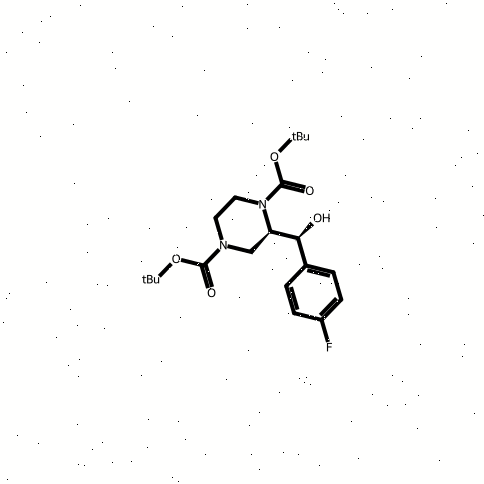 CC(C)(C)OC(=O)N1CCN(C(=O)OC(C)(C)C)[C@@H]([C@@H](O)c2ccc(F)cc2)C1